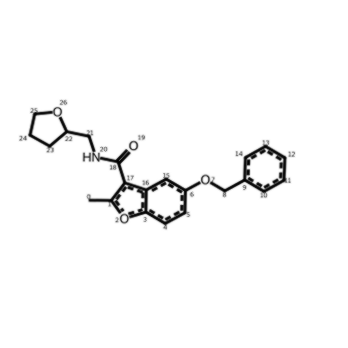 Cc1oc2ccc(OCc3ccccc3)cc2c1C(=O)NCC1CCCO1